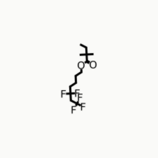 CCC(C)(C)C(=O)OCCCCC(F)(F)CC(F)(F)F